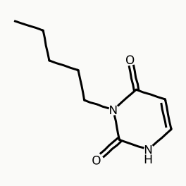 CCCCCn1c(=O)cc[nH]c1=O